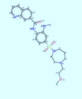 CNc1cc(S(=O)(=O)N2CCCN(CCOC)CC2)ccc1NC(=O)c1ccc2cccnc2c1